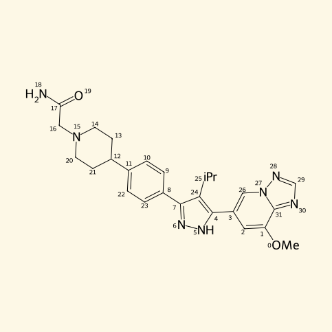 COc1cc(-c2[nH]nc(-c3ccc(C4CCN(CC(N)=O)CC4)cc3)c2C(C)C)cn2ncnc12